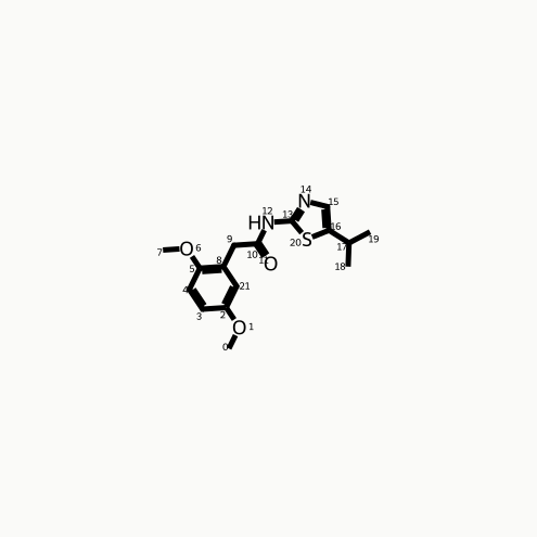 COc1ccc(OC)c(CC(=O)Nc2ncc(C(C)C)s2)c1